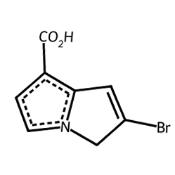 O=C(O)c1ccn2c1C=C(Br)C2